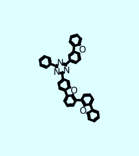 c1ccc(-c2nc(-c3ccc4c(c3)oc3c(-c5cccc6c5oc5ccccc56)cccc34)nc(-c3ccc4oc5ccccc5c4c3)n2)cc1